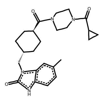 Cc1ccc2[nH]c(=O)n(C[C@H]3CC[C@H](C(=O)N4CCN(C(=O)C5CC5)CC4)CC3)c2c1